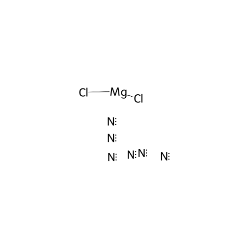 [Cl][Mg][Cl].[N].[N].[N].[N].[N].[N]